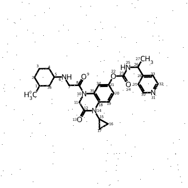 CC1CCCC(NCC(=O)N2CC(=O)N(C3CC3)c3ccc(OC(=O)NC(C)c4ccncc4)cc32)C1